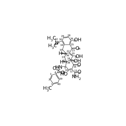 Cc1ccc(S(=O)(=O)NC2C(O)=C(C(N)=O)C(=O)[C@@]3(O)C(O)=C4C(=O)c5c(O)ccc(N(C)C)c5C[C@H]4C[C@@H]23)cc1